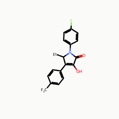 CCC1C(c2ccc(C(F)(F)F)cc2)=C(O)C(=O)N1c1ccc(F)cc1